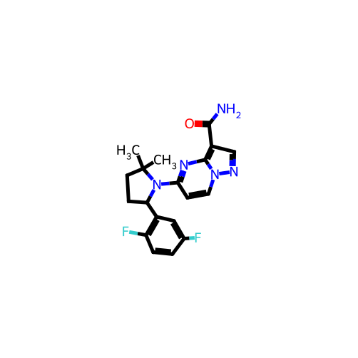 CC1(C)CCC(c2cc(F)ccc2F)N1c1ccn2ncc(C(N)=O)c2n1